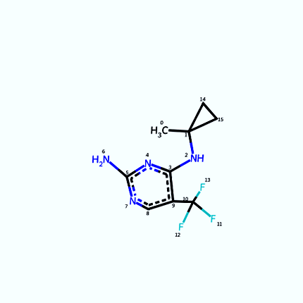 CC1(Nc2nc(N)ncc2C(F)(F)F)CC1